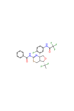 CC(F)(F)[C@H]1OC[C@]2(c3cc(NC(=O)C(F)(F)F)ccc3F)N=C(NC(=O)c3ccccc3)SCC12